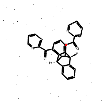 O=C(OC1C(OC(=O)c2ccccn2)[C@H]2c3ccccc3[C@H]1c1ccccc12)c1ccccn1